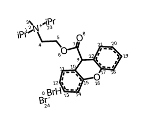 Br.CC(C)[N+](C)(CCOC(=O)C1c2ccccc2Oc2ccccc21)C(C)C.[Br-]